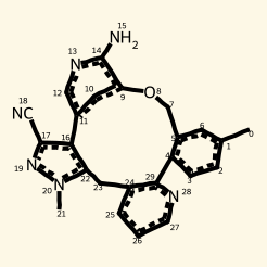 Cc1ccc2c(c1)COc1cc(cnc1N)-c1c(C#N)nn(C)c1Cc1cccnc1-2